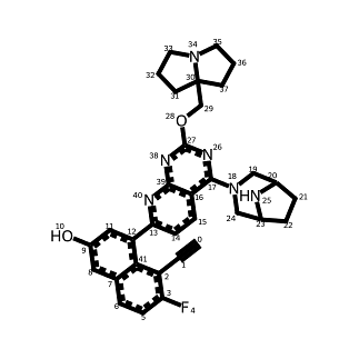 C#Cc1c(F)ccc2cc(O)cc(-c3ccc4c(N5CC6CCC(C5)N6)nc(OCC56CCCN5CCC6)nc4n3)c12